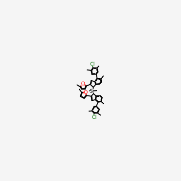 Cc1ccc(C2=Cc3c(ccc(C)c3-c3cc(C)c(Cl)c(C)c3)C2[Si](C)(C)C2C(c3ccc(C)o3)=Cc3c2ccc(C)c3-c2cc(C)c(Cl)c(C)c2)o1